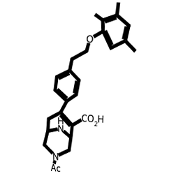 CC(=O)N1CC2CC(c3ccc(CCOc4cc(C)cc(C)c4C)cc3)=C(C(=O)O)C(C1)N2